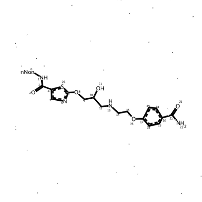 CCCCCCCCCNC(=O)c1cnc(OCC(O)CNCCOc2ccc(C(N)=O)cc2)s1